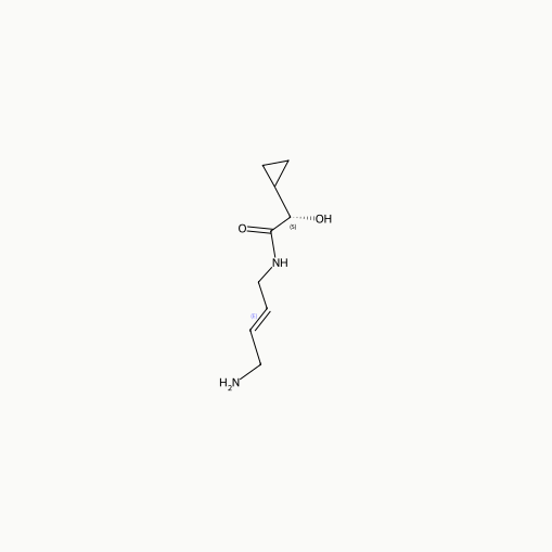 NC/C=C/CNC(=O)[C@@H](O)C1CC1